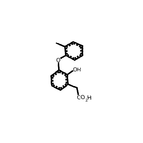 Cc1ccccc1Oc1cccc(CC(=O)O)c1O